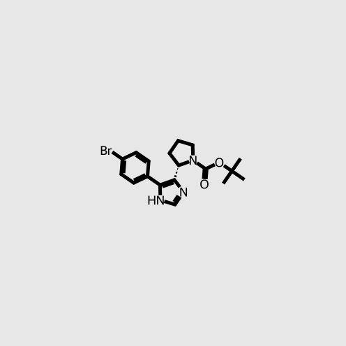 CC(C)(C)OC(=O)N1CCC[C@H]1c1nc[nH]c1-c1ccc(Br)cc1